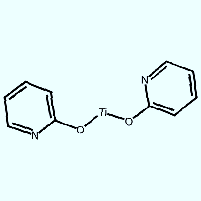 c1ccc([O][Ti][O]c2ccccn2)nc1